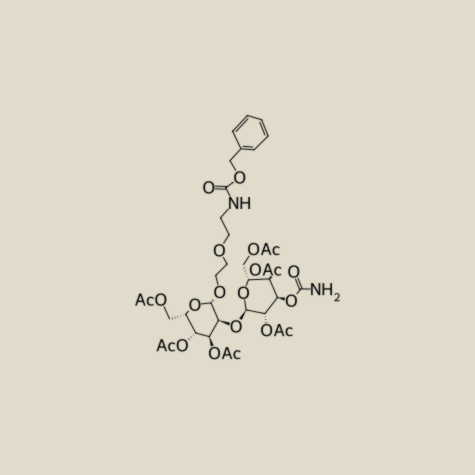 CC(=O)OC[C@@H]1O[C@H](OCCOCCNC(=O)OCc2ccccc2)[C@@H](O[C@H]2O[C@H](COC(C)=O)[C@@H](OC(C)=O)[C@@H](OC(N)=O)[C@@H]2OC(C)=O)[C@@H](OC(C)=O)[C@@H]1OC(C)=O